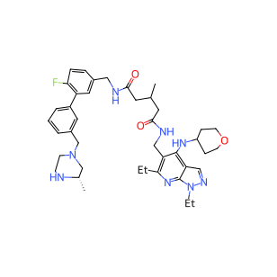 CCc1nc2c(cnn2CC)c(NC2CCOCC2)c1CNC(=O)CC(C)CC(=O)NCc1ccc(F)c(-c2cccc(CN3CCN[C@@H](C)C3)c2)c1